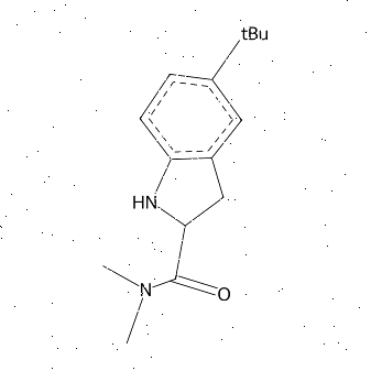 CN(C)C(=O)C1Cc2cc(C(C)(C)C)ccc2N1